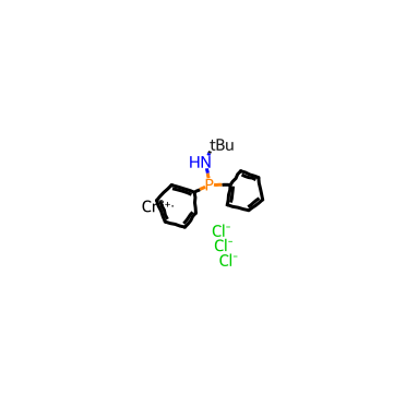 CC(C)(C)NP(c1ccccc1)c1ccccc1.[Cl-].[Cl-].[Cl-].[Cr+3]